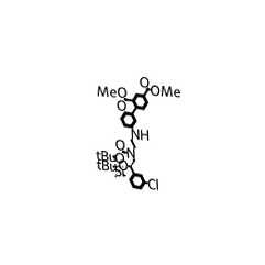 COC(=O)c1ccc(-c2cccc(NCCN(C[C@H](O[Si](C)(C)C(C)(C)C)c3cccc(Cl)c3)C(=O)OC(C)(C)C)c2)c(C(=O)OC)c1